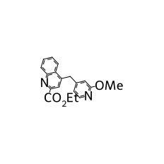 CCOC(=O)c1cc(Cc2ccnc(OC)c2)c2ccccc2n1